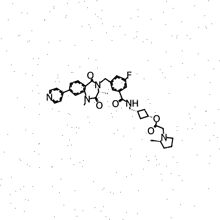 C[C@@H]1CCCN1CC(=O)O[C@H]1C[C@@H](CNC(=O)c2cc(F)cc(CN3C(=O)c4ccc(-c5ccncc5)cc4N(C)C(=O)[C@H]3C)c2)C1